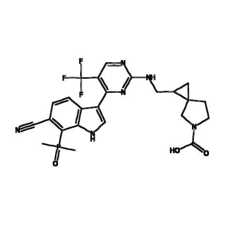 CP(C)(=O)c1c(C#N)ccc2c(-c3nc(NCC4CC45CCN(C(=O)O)C5)ncc3C(F)(F)F)c[nH]c12